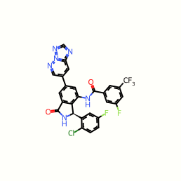 O=C(Nc1cc(-c2cnn3ncnc3c2)cc2c1[C@@H](c1cc(F)ccc1Cl)NC2=O)c1cc(F)cc(C(F)(F)F)c1